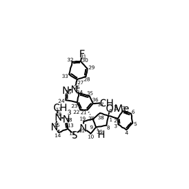 CO[C@@]1(c2ccccc2)C[C@H]2CN(Sc3cnn(C)n3)C[C@@]2(c2cc3cnn(-c4ccc(F)cc4)c3cc2C)C1